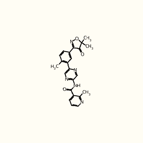 Cc1ccc(C2=NOC(C)(C)C2=O)cc1-c1cnc(NC(=O)c2cccnc2C)cn1